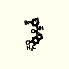 Cc1cc2c(cc1Cl)N(C(=O)Nc1cncc(Br)c1)CC2